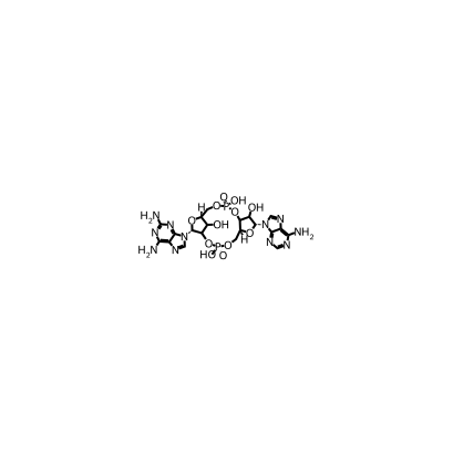 Nc1nc(N)c2ncn([C@@H]3O[C@@H]4COP(=O)(O)OC5C(O)[C@H](n6cnc7c(N)ncnc76)O[C@@H]5COP(=O)(O)OC3C4O)c2n1